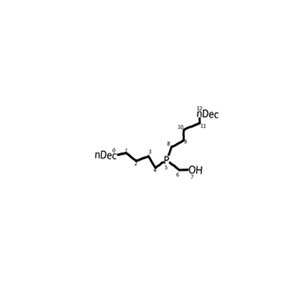 CCCCCCCCCCCCCCP(CO)CCCCCCCCCCCCCC